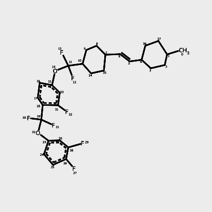 CC1CCC(/C=C/C2CCC(C(F)(F)Oc3ccc(C(F)(F)Oc4ccc(F)c(F)c4)c(F)c3)CC2)CC1